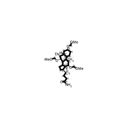 CC[C@H]1[C@@H](OCOC)C2C3CC[C@H](CCCC(N)=O)[C@@]3(C)[C@@H](OCOC)CC2[C@@]2(C)CC[C@@H](OCOC)C[C@@H]12